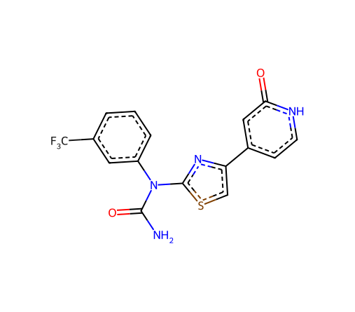 NC(=O)N(c1cccc(C(F)(F)F)c1)c1nc(-c2cc[nH]c(=O)c2)cs1